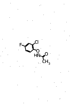 CC(=O)NOc1ccc(F)cc1Cl